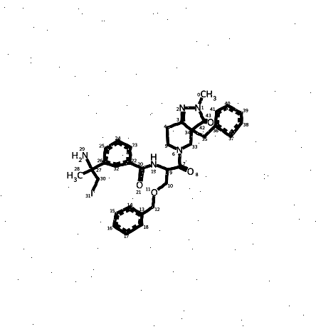 CN1N=C2CCN(C(=O)C(COCc3ccccc3)NC(=O)c3cccc(C(C)(N)CI)c3)CC2(Cc2ccccc2)C1=O